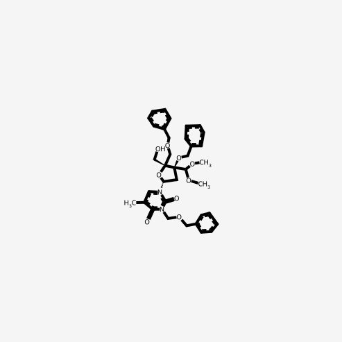 COC(OC)[C@]1(OCc2ccccc2)C[C@H](n2cc(C)c(=O)n(COCc3ccccc3)c2=O)O[C@]1(CO)COCc1ccccc1